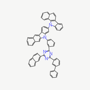 c1ccc(-c2cccc(-c3nc(-c4cccc(-n5c6cc(-n7c8ccccc8c8ccc9ccccc9c87)ccc6c6cc7ccccc7cc65)c4)nc(-c4ccc5ccccc5c4)n3)c2)cc1